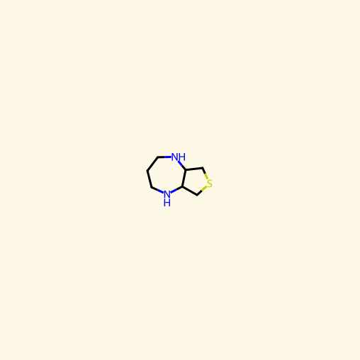 C1CNC2CSCC2NC1